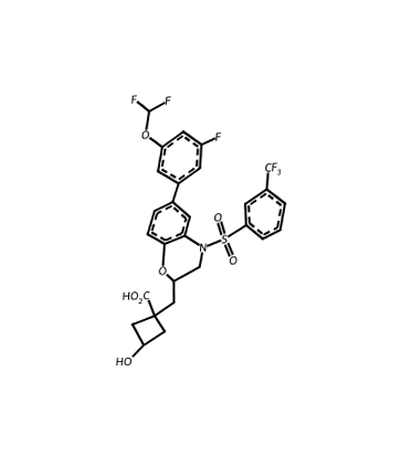 O=C(O)C1(CC2CN(S(=O)(=O)c3cccc(C(F)(F)F)c3)c3cc(-c4cc(F)cc(OC(F)F)c4)ccc3O2)CC(O)C1